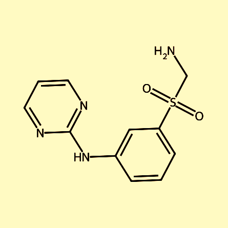 NCS(=O)(=O)c1cccc(Nc2ncccn2)c1